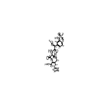 CON=C(C(=O)NC1C(=O)N2C(C(=O)O)=C(CSc3nncs3)CS[C@@H]12)c1cccc(NS(C)(=O)=O)c1